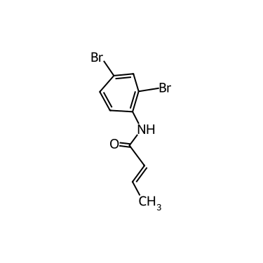 CC=CC(=O)Nc1ccc(Br)cc1Br